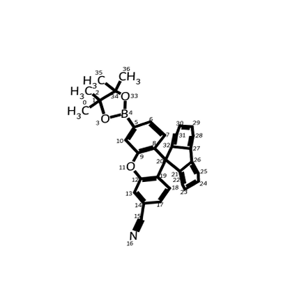 CC1(C)OB(c2ccc3c(c2)Oc2cc(C#N)ccc2C32c3ccccc3-c3ccccc32)OC1(C)C